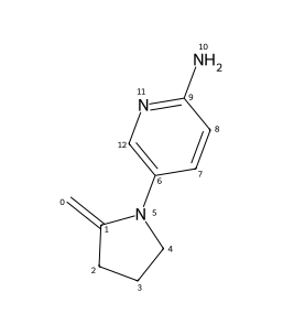 C=C1CCCN1c1ccc(N)nc1